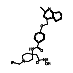 Cc1cc(COc2ccc(C(=O)NC3(CC(=O)NO)CCN(CC(C)C)CC3)cc2)c2ccccc2n1